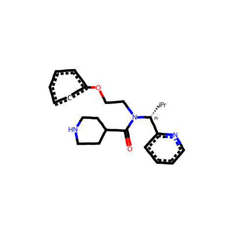 CC(C)[C@H](c1ccccn1)N(CCOc1ccccc1)C(=O)C1CCNCC1